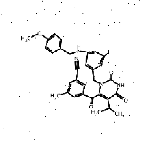 COc1ccc(CNc2cc(F)cc(Cn3c(C(=O)c4cc(C)cc(C#N)c4)c(C(C)C)c(=O)[nH]c3=O)c2)cc1